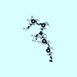 CCCOC(=O)NC1CC(C)(C)CC(C)(CN=C=NCC2CC(NC(=O)OCC(CC)(COCC(C)(C)OCC)COC(=O)NC3CC(C)(C)CC(C)(CN=C=NCC4(C)CCCC(NC(=O)OCCN5CC5)C4)C3)CC(C)(C)C2)C1